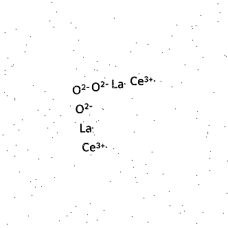 [Ce+3].[Ce+3].[La].[La].[O-2].[O-2].[O-2]